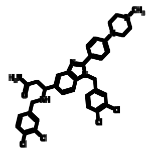 CN1CCN(c2ccc(-c3nc4cc(C(CC(N)=O)NCc5ccc(Cl)c(Cl)c5)ccc4n3Cc3ccc(Cl)c(Cl)c3)cc2)CC1